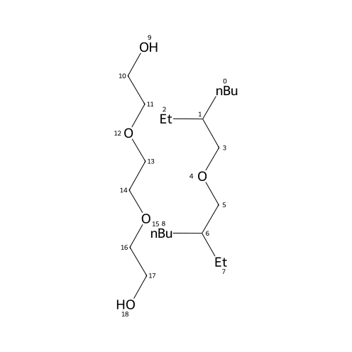 CCCCC(CC)COCC(CC)CCCC.OCCOCCOCCO